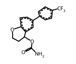 NC(=O)OC1CCOc2ccc(-c3ccc(C(F)(F)F)cc3)cc21